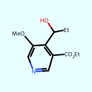 CCOC(=O)c1cncc(OC)c1C(O)CC